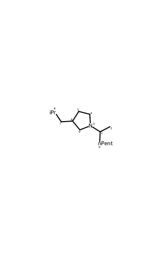 CCCCCC(C)N1CCC(CC(C)C)C1